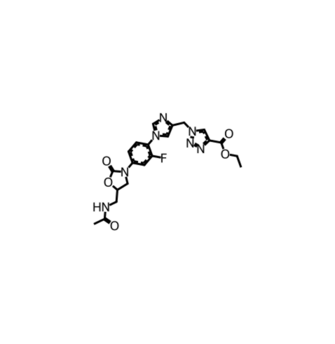 CCOC(=O)c1cn(Cc2cn(-c3ccc(N4CC(CNC(C)=O)OC4=O)cc3F)cn2)nn1